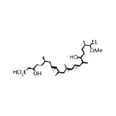 CCC(OC)C(C)CCC(O)C(C)/C=C/C=C(\C)CC(C)/C=C/CC(C)CCC(O)CC(=O)O